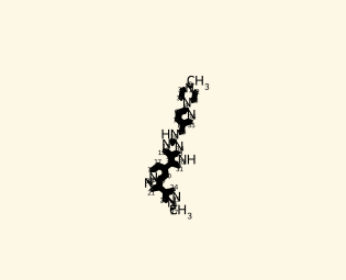 CN1CCN(c2ccc(CNc3ncc4c(-c5ccn6ncc(-c7cnn(C)c7)c6c5)c[nH]c4n3)cn2)CC1